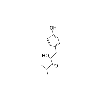 CC(C)C(=O)C(O)Cc1ccc(O)cc1